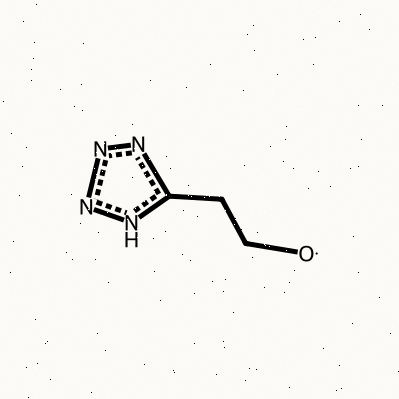 [O]CCc1nnn[nH]1